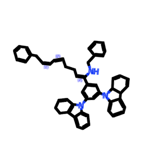 C1=CC2c3ccccc3N(c3cc(/C(=C/CC/C=C\C=C/Cc4ccccc4)NCc4ccccc4)cc(-n4c5c(c6ccccc64)CCC=C5)c3)C2C=C1